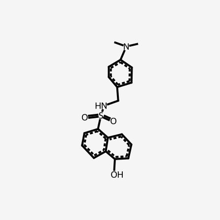 CN(C)c1ccc(CNS(=O)(=O)c2cccc3c(O)cccc23)cc1